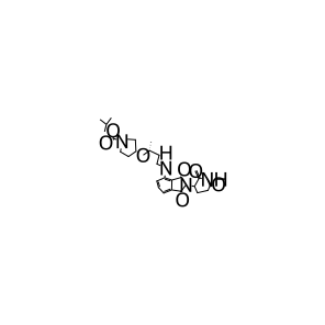 C[C@H](CCNc1cccc2c1C(=O)N(C1CCC(=O)NC1=O)C2=O)OC1CCN(C(=O)OC(C)(C)C)CC1